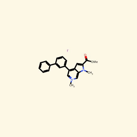 COC(=O)c1cc2c(-c3cccc(-c4ccccc4)c3)c[n+](C)cc2n1C.[I-]